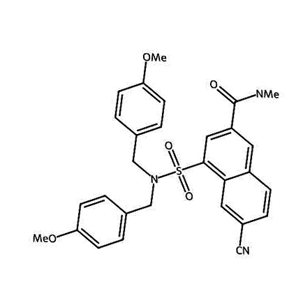 CNC(=O)c1cc(S(=O)(=O)N(Cc2ccc(OC)cc2)Cc2ccc(OC)cc2)c2cc(C#N)ccc2c1